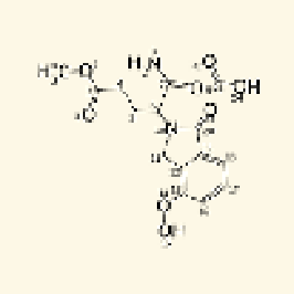 COC(=O)CCC(C(N)=O)N1Cc2c(OO)cccc2C1=O.O=CO